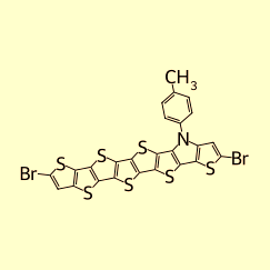 Cc1ccc(-n2c3cc(Br)sc3c3sc4c5sc6c7sc8cc(Br)sc8c7sc6c5sc4c32)cc1